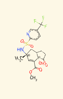 COC(=O)C1=C[C@](C)(NS(=O)(=O)c2ccc(C(F)(F)F)cn2)CC2CCC(=O)[C@@]12O